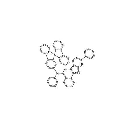 c1ccc(-c2ccc3c(c2)oc2c4ccccc4c(N(c4ccccc4)c4ccc5c(c4)C4(c6ccccc6-c6ccccc64)c4ccccc4-5)cc32)cc1